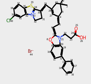 CC1(C)CC(=CC=C2Oc3ccc(-c4ccccc4)cc3N2CCC(=O)O)C=C(C=C2CC[n+]3c2sc2ccc(Cl)cc23)C1.[Br-]